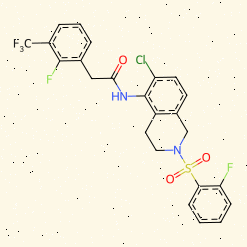 O=C(Cc1cccc(C(F)(F)F)c1F)Nc1c(Cl)ccc2c1CCN(S(=O)(=O)c1ccccc1F)C2